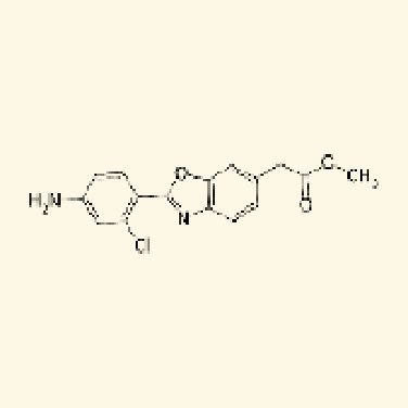 COC(=O)Cc1ccc2nc(-c3ccc(N)cc3Cl)oc2c1